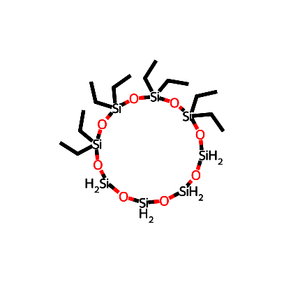 CC[Si]1(CC)O[SiH2]O[SiH2]O[SiH2]O[SiH2]O[Si](CC)(CC)O[Si](CC)(CC)O[Si](CC)(CC)O1